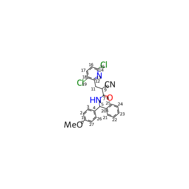 COc1ccc(C(NC(=O)C(C#N)Cc2nc(Cl)ccc2Cl)c2ccccc2)cc1